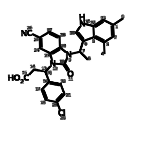 Cc1cc(C)c2c(C(C)n3c(=O)n([C@H](CC(=O)O)c4ccc(Cl)cc4)c4cc(C#N)ccc43)c[nH]c2c1